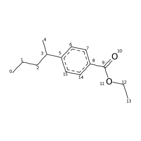 CCCC(C)c1ccc(C(=O)OCC)cc1